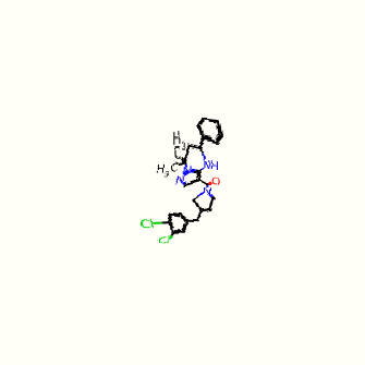 CC1(C)CC(c2ccccc2)Nc2c(C(=O)N3CCC(Cc4ccc(Cl)c(Cl)c4)C3)cnn21